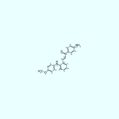 COc1ccc(Nc2ncccc2C=CC(=O)c2ccc(N)cc2)cc1